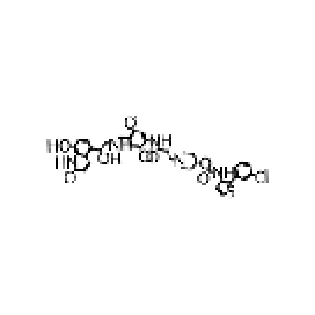 COc1cc(NC(=O)CCN2CCC(OC(=O)Nc3ccsc3-c3cccc(Cl)c3)CC2)c(Cl)cc1CNC[C@@H](O)c1ccc(O)c2[nH]c(=O)ccc12